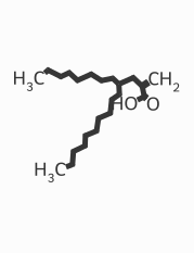 C=C(CC(CCCCCCCC)CCCCCCCCCC)C(=O)O